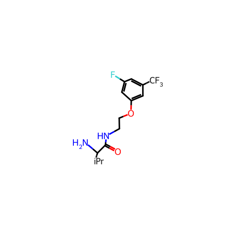 CC(C)C(N)C(=O)NCCOc1cc(F)cc(C(F)(F)F)c1